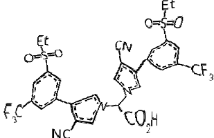 CCS(=O)(=O)c1cc(-c2cn(C(C(=O)O)n3cc(C#N)c(-c4cc(C(F)(F)F)cc(S(=O)(=O)CC)c4)c3)cc2C#N)cc(C(F)(F)F)c1